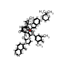 Cc1cc(-n2nc3c(c2-n2ccn(-c4ccc5cnncc5c4F)c2=O)[C@@H]2CC[C@H](C3)N2C(=O)c2cc3cc([C@H]4CCOC(C)(C)C4)ccc3n2[C@@]2(c3noc(=O)[nH]3)C[C@@H]2C)cc(C)c1F